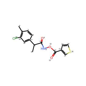 Cc1ccc(C(C)C(=O)NOC(=O)c2ccsc2)cc1Cl